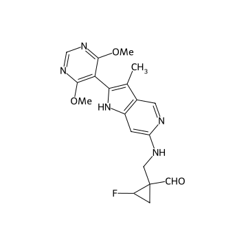 COc1ncnc(OC)c1-c1[nH]c2cc(NCC3(C=O)CC3F)ncc2c1C